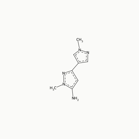 Cn1cc(-c2cc(N)n(C)n2)cn1